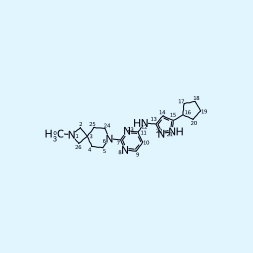 CN1CC2(CCN(c3nccc(Nc4cc(C5CCCC5)[nH]n4)n3)CC2)C1